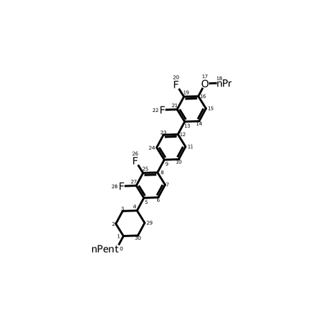 CCCCCC1CCC(c2ccc(-c3ccc(-c4ccc(OCCC)c(F)c4F)cc3)c(F)c2F)CC1